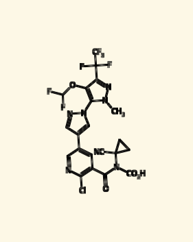 Cn1nc(C(F)(F)C(F)(F)F)c(OC(F)F)c1-n1cc(-c2cnc(Cl)c(C(=O)N(C(=O)O)C3(C#N)CC3)c2)cn1